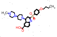 CCCCOc1ccc(S(=O)(=O)c2cc(N3CCC(N4CCN(C)CC4)CC3)c3cc(C(=O)O)ccc3n2)cc1